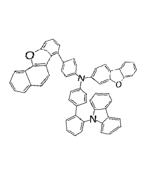 c1ccc(-n2c3ccccc3c3ccccc32)c(-c2ccc(N(c3ccc(-c4cccc5oc6c7ccccc7ccc6c45)cc3)c3ccc4c(c3)oc3ccccc34)cc2)c1